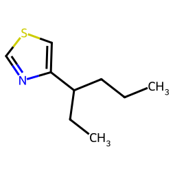 CCCC(CC)c1cscn1